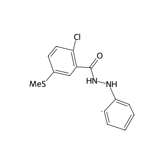 CSc1ccc(Cl)c(C(=O)NNc2[c]cccc2)c1